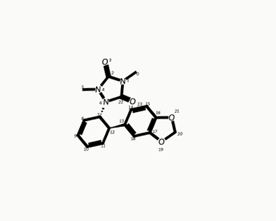 Cn1c(=O)n(C)n([C@H]2C=CC=C[C@@H]2c2ccc3c(c2)OCO3)c1=O